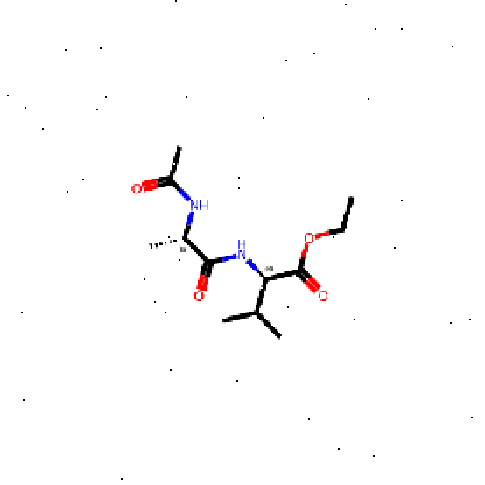 CCOC(=O)[C@H](NC(=O)[C@H](C)NC(C)=O)C(C)C